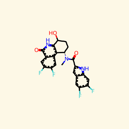 CN(C(=O)c1cc2cc(F)c(F)cc2[nH]1)[C@H]1CCC(O)c2[nH]c(=O)c3cc(F)c(F)cc3c21